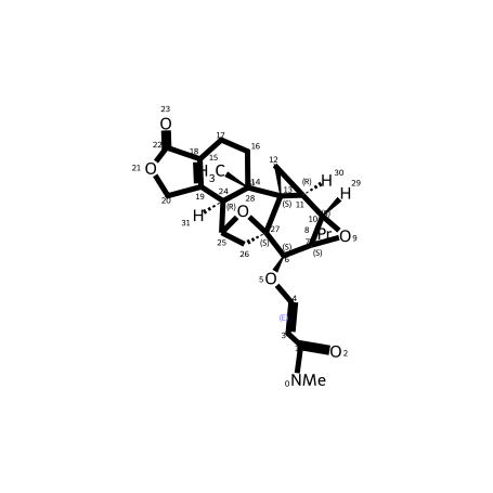 CNC(=O)/C=C/O[C@@H]1[C@@]2(C(C)C)O[C@H]2[C@@H]2C[C@@]23[C@@]2(C)CCC4=C(COC4=O)[C@@H]2C2C[C@@]13O2